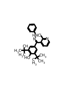 CC(C)(C)c1cc(C(=NNc2ccccc2)c2cccnc2Cl)cc(C(C)(C)C)c1O